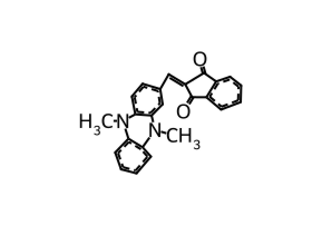 CN1c2ccccc2N(C)c2cc(C=C3C(=O)c4ccccc4C3=O)ccc21